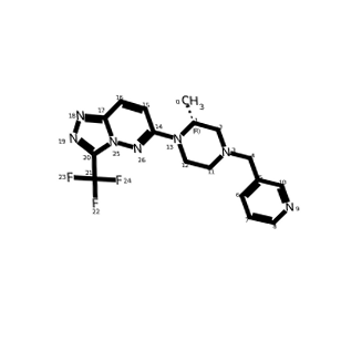 C[C@@H]1CN(Cc2cccnc2)CCN1c1ccc2nnc(C(F)(F)F)n2n1